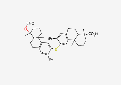 CC(C)c1cc2c(cc1Sc1cc3c(cc1C(C)C)CCC1C(C)(C(=O)O)CCCC31C)C1(C)CCCC(C)(OC=O)C1CC2